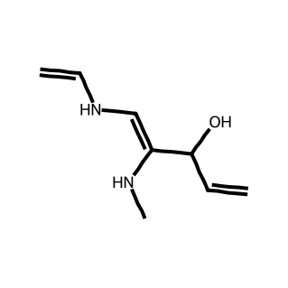 C=CN/C=C(\NC)C(O)C=C